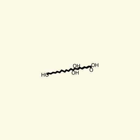 O=C(O)C=CC=CC=CC(O)C(O)CCCCCCCCCCCO